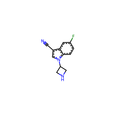 N#Cc1cn(C2CNC2)c2ccc(F)cc12